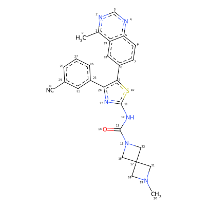 Cc1ncnc2ccc(-c3sc(NC(=O)N4CC5(CN(C)C5)C4)nc3-c3cccc(C#N)c3)cc12